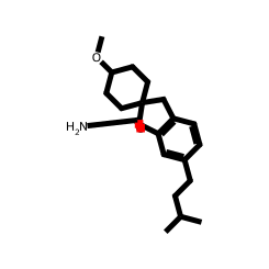 COC1CCC2(CC1)Cc1ccc(CCC(C)C)cc1C21COC(N)=N1